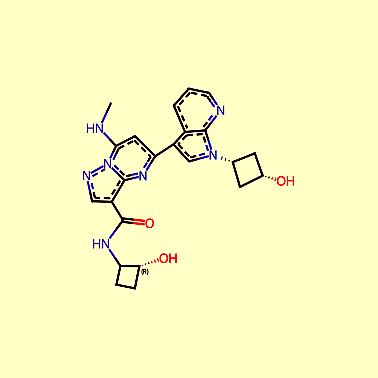 CNc1cc(-c2cn([C@H]3C[C@@H](O)C3)c3ncccc23)nc2c(C(=O)NC3CC[C@H]3O)cnn12